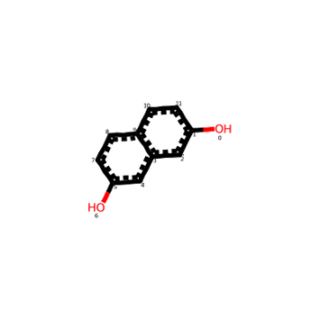 Oc1[c]c2cc(O)ccc2cc1